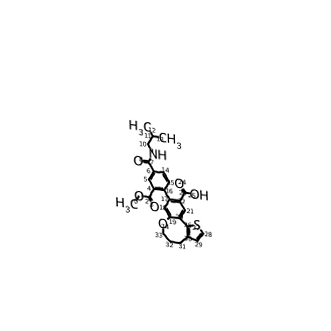 COC(=O)c1cc(C(=O)NCC(C)C)ccc1-c1cc2c(cc1C(=O)O)-c1sccc1CCCO2